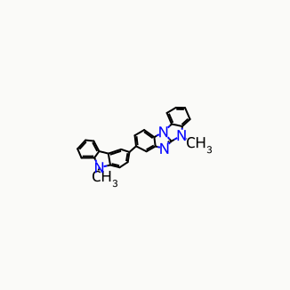 Cn1c2ccccc2c2cc(-c3ccc4c(c3)nc3n(C)c5ccccc5n43)ccc21